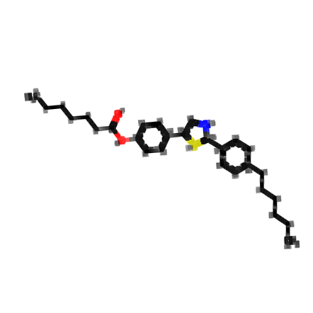 CCCCCCC(=O)Oc1ccc(-c2cnc(-c3ccc(CCCCCC)cc3)s2)cc1